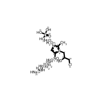 Cc1ncc([N+](=O)[O-])n1CC(O)CCl.O.O.O.O.O.O.O.O=P(O)(O)O.[NaH].[NaH]